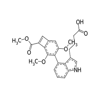 COC(=O)C1=Cc2cc(OC)c(-c3cccc4[nH]cc(CCCC(=O)O)c34)c(OC)c21